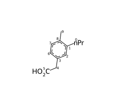 CCCc1cc(CC(=O)O)ccc1C